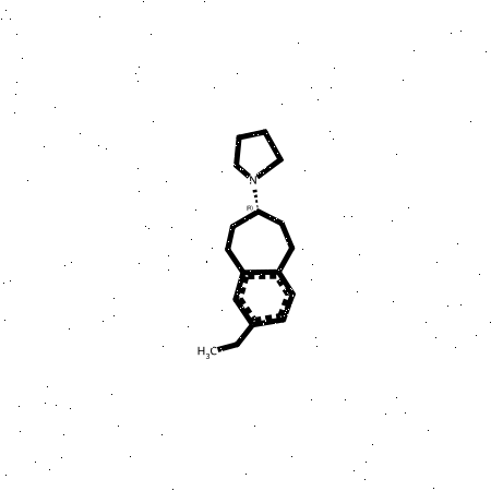 CCc1ccc2c(c1)CC[C@H](N1CCCC1)CC2